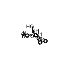 OCCNCc1cc(Cl)c(OCc2cccc(-c3ccccc3)c2Br)cc1OCc1ccc2nonc2c1